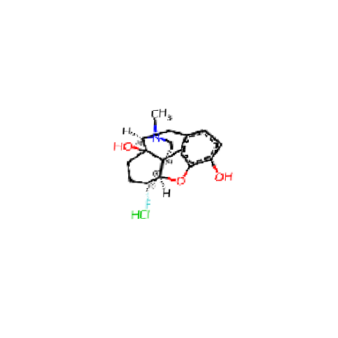 CN1CC[C@]23c4c5ccc(O)c4O[C@H]2[C@H](F)CCC3(O)[C@H]1C5.Cl